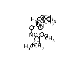 COc1cc(NC(=O)/C=C/CN(C)C)cc(-c2cnc3c(c2)c(-c2cccc(C#N)c2)cn3C(C)OC(=O)C(C)(C)C)c1